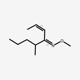 C/C=C\C(=N/OC)C(C)CCC